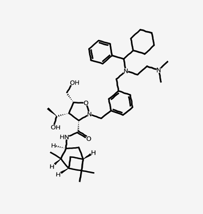 C[C@@H]1[C@@H](NC(=O)[C@@H]2[C@H]([C@H](C)O)[C@H](CO)ON2Cc2cccc(CN(CCN(C)C)C(c3ccccc3)C3CCCCC3)c2)C[C@H]2C[C@@H]1C2(C)C